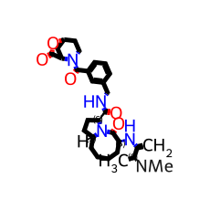 C=C(N[C@H]1CCCC[C@H]2CC[C@@H](C(=O)NCc3cccc(C(=O)N4CCC5CC4C(=O)O5)c3)N2C1=O)[C@H](C)NC